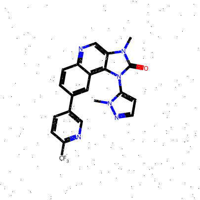 Cn1nccc1-n1c(=O)n(C)c2cnc3ccc(-c4ccc(C(F)(F)F)nc4)cc3c21